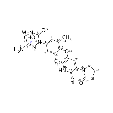 CNC(=O)N(/N=C(/N)C=O)c1cc(C)c(Oc2c[nH]c(=O)c(N3CCCC3=O)c2)c(Cl)c1